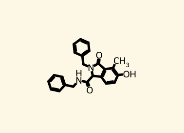 Cc1c(O)ccc2c1C(=O)N(Cc1ccccc1)C2C(=O)NCc1ccccc1